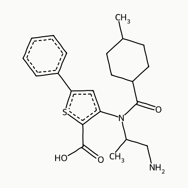 CC1CCC(C(=O)N(c2cc(-c3ccccc3)sc2C(=O)O)C(C)CN)CC1